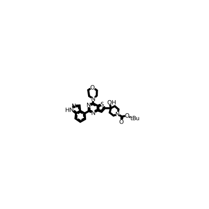 CC(C)(C)OC(=O)N1CCC(O)(c2cc3nc(-c4cccc5[nH]ncc45)nc(N4CCOCC4)c3s2)CC1